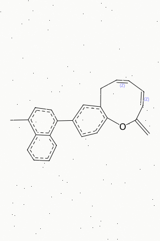 C=C1/C=C\C=C/Cc2cc(-c3ccc(C)c4ccccc34)ccc2O1